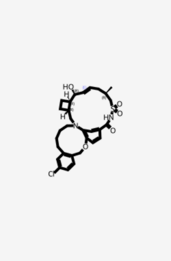 C[C@@H]1C/C=C/[C@H](O)[C@@H]2CC[C@H]2CN2CCCCc3cc(Cl)ccc3COc3ccc(cc32)C(=O)NS(=O)(=O)C1